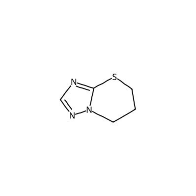 c1nc2n(n1)CCCS2